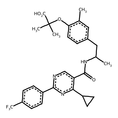 Cc1cc(CC(C)NC(=O)c2cnc(-c3ccc(C(F)(F)F)cc3)nc2C2CC2)ccc1OC(C)(C)C(=O)O